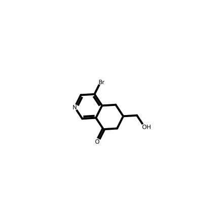 O=C1CC(CO)Cc2c(Br)cncc21